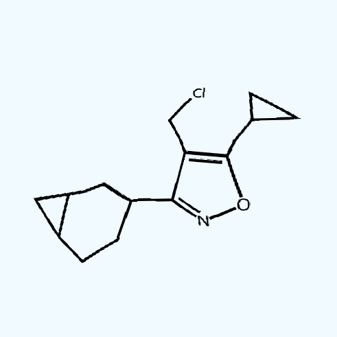 ClCc1c(C2CCC3CC3C2)noc1C1CC1